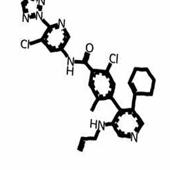 C=CCNc1cncc(C2=CCCCC2)c1-c1cc(Cl)c(C(=O)Nc2cnc(-n3nccn3)c(Cl)c2)cc1C